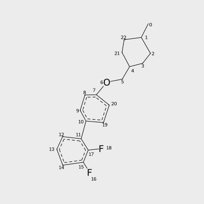 CC1CCC(COc2ccc(-c3cccc(F)c3F)cc2)CC1